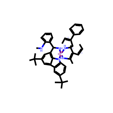 C/C=C\C1=C(C)N[PH]2(N/C1=C\C(=C/C)c1ccccc1)NC(c1ccccc1NC)c1cc(C(C)(C)C)cc3c4cc(C(C)(C)C)ccc4n2c13